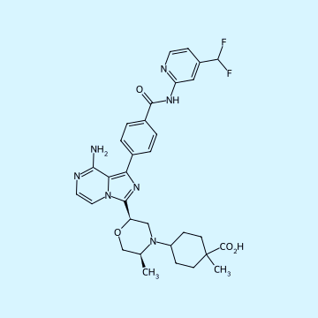 C[C@H]1CO[C@@H](c2nc(-c3ccc(C(=O)Nc4cc(C(F)F)ccn4)cc3)c3c(N)nccn23)CN1C1CCC(C)(C(=O)O)CC1